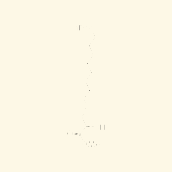 CCCCCCCCCCCCCCCCCCOCC(O)C(=O)OC